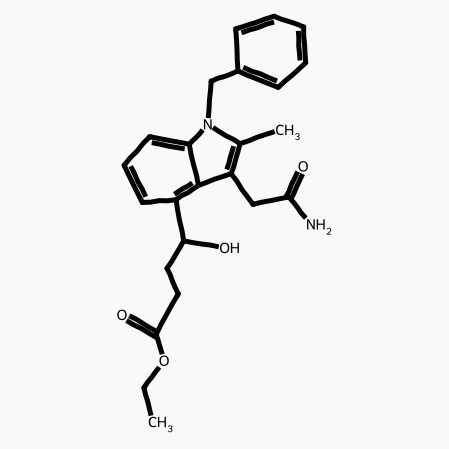 CCOC(=O)CCC(O)c1cccc2c1c(CC(N)=O)c(C)n2Cc1ccccc1